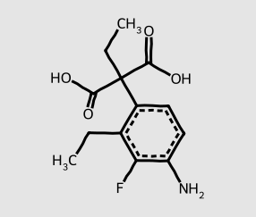 CCc1c(C(CC)(C(=O)O)C(=O)O)ccc(N)c1F